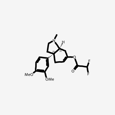 COc1ccc([C@@]23CC=C(OC(=O)C(F)F)C[C@@H]2N(C)CC3)cc1OC